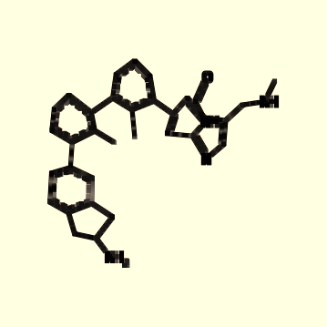 CNCC1=C/N=C(NC=O)/C=C(c2cccc(-c3cccc(-c4ccc5c(c4)CC(N)C5)c3C)c2C)\C=C\1